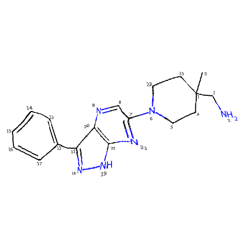 CC1(CN)CCN(c2cnc3c(-c4ccccc4)n[nH]c3n2)CC1